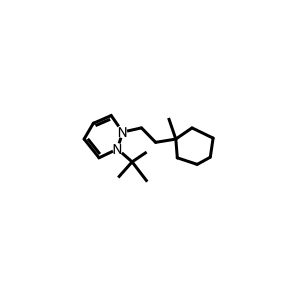 CC1(CCN2C=CC=CN2C(C)(C)C)CCCCC1